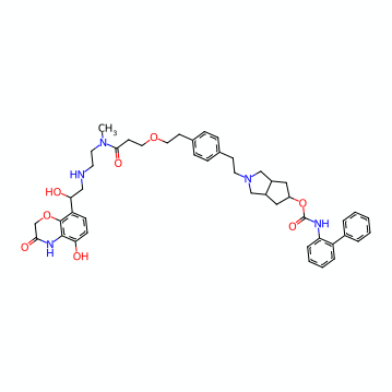 CN(CCNCC(O)c1ccc(O)c2c1OCC(=O)N2)C(=O)CCOCCc1ccc(CCN2CC3CC(OC(=O)Nc4ccccc4-c4ccccc4)CC3C2)cc1